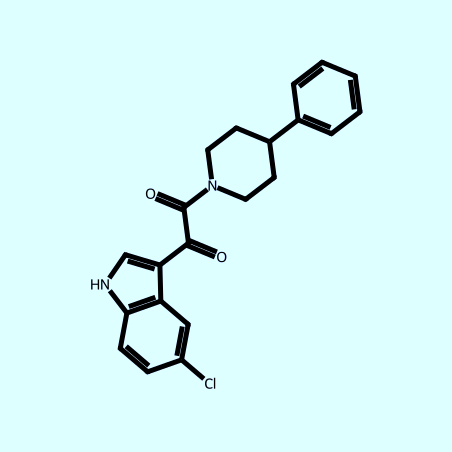 O=C(C(=O)N1CCC(c2ccccc2)CC1)c1c[nH]c2ccc(Cl)cc12